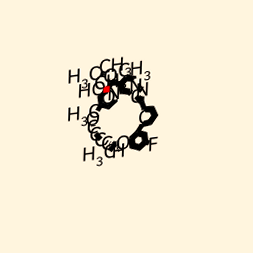 Cc1cn2nc3cc2c(c1[C@H](OC(C)(C)C)C(=O)O)N1CCC(C)(CC1)OCCCC[C@H](C)Oc1ccc(F)cc1-c1cccc-3c1